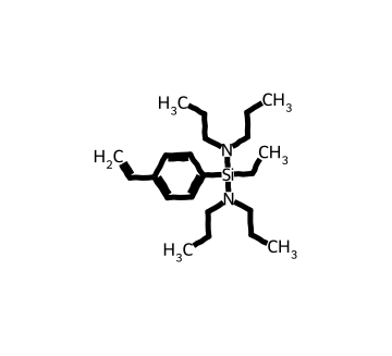 C=Cc1ccc([Si](CC)(N(CCC)CCC)N(CCC)CCC)cc1